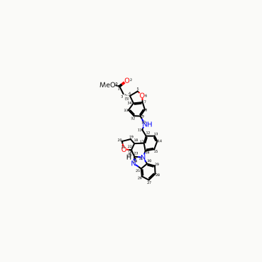 COC(=O)C[C@@H]1COc2cc(NCc3cccc4c3C3CCO[C@@H]3c3nc5ccccc5n3-4)ccc21